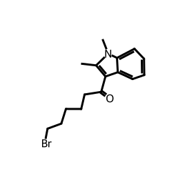 Cc1c(C(=O)CCCCCBr)c2ccccc2n1C